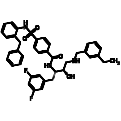 CCc1cccc(CNC[C@@H](O)[C@H](Cc2cc(F)cc(F)c2)NC(=O)c2ccc(S(=O)(=O)Nc3ccccc3Cc3ccccc3)cc2)c1